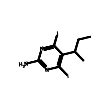 CCC(C)c1c(I)nc(N)nc1I